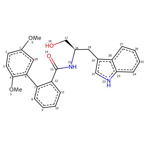 COc1ccc(OC)c(-c2ccccc2C(=O)N[C@@H](CO)Cc2c[nH]c3ccccc23)c1